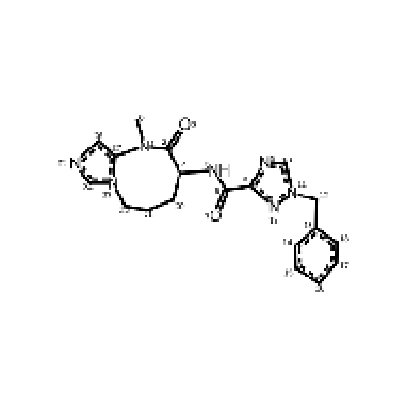 CN1C(=O)C(NC(=O)c2ncn(Cc3ccccc3)n2)CCCn2cncc21